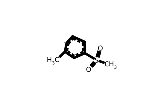 Cc1[c]ccc(S(C)(=O)=O)c1